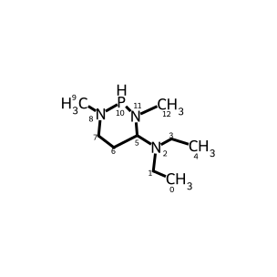 CCN(CC)C1CCN(C)PN1C